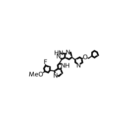 COc1cc(F)cc(-c2nccc3[nH]c(-c4n[nH]c5ncc(-c6cncc(OCc7ccccc7)c6)cc45)cc23)c1